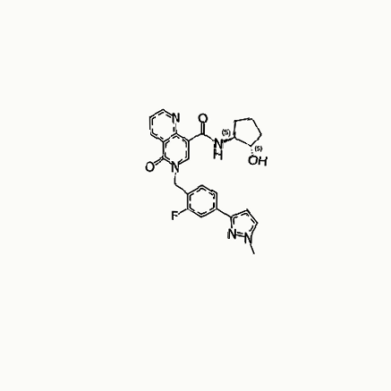 Cn1ccc(-c2ccc(Cn3cc(C(=O)N[C@H]4CCC[C@@H]4O)c4ncccc4c3=O)c(F)c2)n1